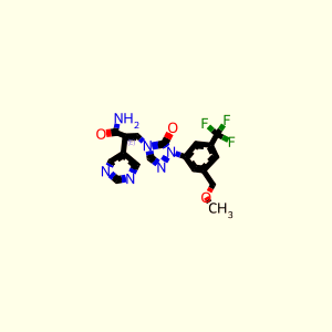 COCc1cc(-n2ncn(/C=C(/C(N)=O)c3cncnc3)c2=O)cc(C(F)(F)F)c1